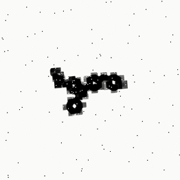 FC(F)(F)CCNc1ncc2c(-c3ccc(CN4CCNCC4)cc3)cn(C3CCCCC3)c2n1